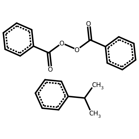 CC(C)c1ccccc1.O=C(OOC(=O)c1ccccc1)c1ccccc1